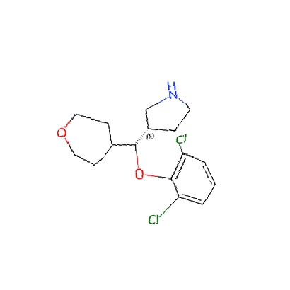 Clc1cccc(Cl)c1OC(C1CCOCC1)[C@H]1CCNC1